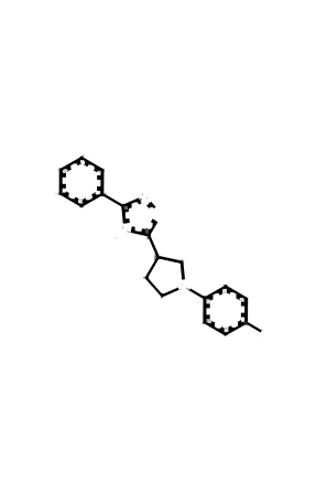 Clc1ccc(N2CCC(c3nc(-c4ccccc4)no3)C2)cc1